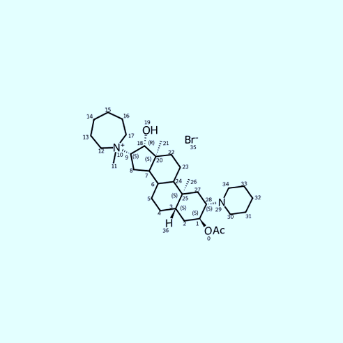 CC(=O)O[C@H]1C[C@@H]2CCC3C4C[C@H]([N+]5(C)CCCCCC5)[C@H](O)[C@@]4(C)CCC3[C@@]2(C)C[C@@H]1N1CCCCC1.[Br-]